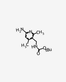 Cc1cc(N)nc(C)c1CNC(=O)OC(C)(C)C